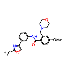 COc1ccc(C(=O)Nc2cccc(-c3coc(C)n3)c2)c(CN2CCOCC2)c1